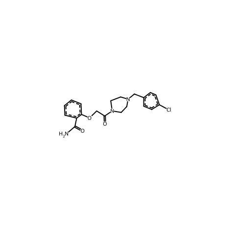 NC(=O)c1ccccc1OCC(=O)N1CCN(Cc2ccc(Cl)cc2)CC1